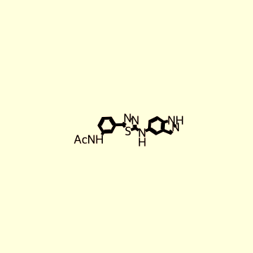 CC(=O)Nc1cccc(-c2nnc(Nc3ccc4[nH]ncc4c3)s2)c1